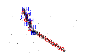 CCOCCOCCOCCOCCOCCOCCOCCOCCOCCn1cc(COC(=O)NCCNC(=O)CNC(=O)CNC(=O)CNC(=O)CON)nn1